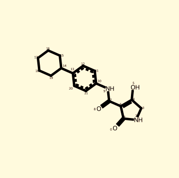 O=C1NCC(O)=C1C(=O)Nc1ccc(C2CCCCC2)cc1